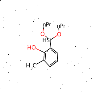 CCCO[SiH](OCCC)c1cccc(C)c1O